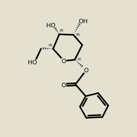 O=C(O[C@H]1C[C@@H](O)[C@@H](O)[C@@H](CO)O1)c1ccccc1